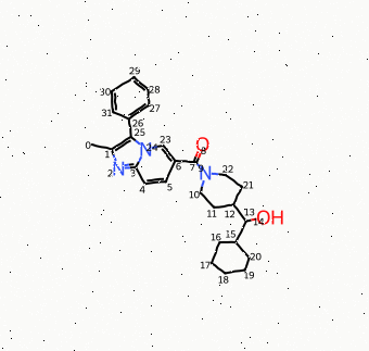 Cc1nc2ccc(C(=O)N3CCC(C(O)C4CCCCC4)CC3)cn2c1-c1ccccc1